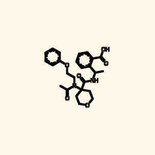 CC(=O)N(CCOc1ccccc1)C1(C(=O)NC(C)c2ccccc2C(=O)O)CCOCC1